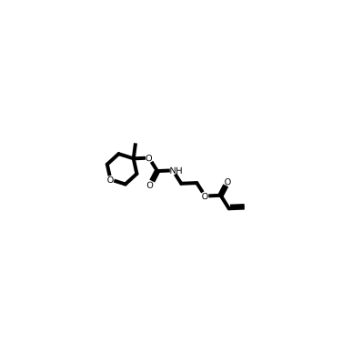 C=CC(=O)OCCNC(=O)OC1(C)CCOCC1